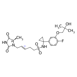 C[C@@H]1C(=O)NC(=O)N1C/C=C/CCS(=O)(=O)NC1(c2ccc(F)c(OCC(C)(C)O)c2)CC1